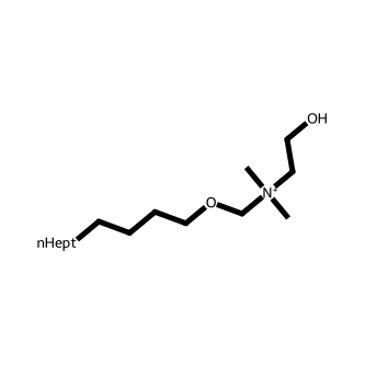 CCCCCCCCCCCOC[N+](C)(C)CCO